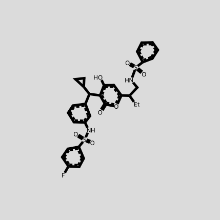 CCC(CNS(=O)(=O)c1ccccc1)c1cc(O)c(C(c2cccc(NS(=O)(=O)c3ccc(F)cc3)c2)C2CC2)c(=O)o1